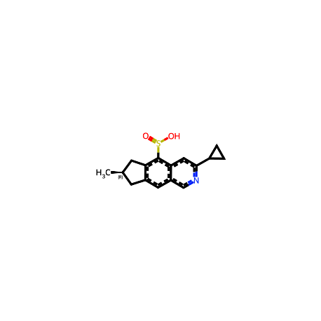 C[C@@H]1Cc2cc3cnc(C4CC4)cc3c(S(=O)O)c2C1